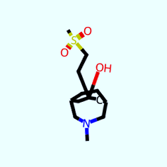 CN1CC2CCC(C1)CC(O)(CCS(C)(=O)=O)C2